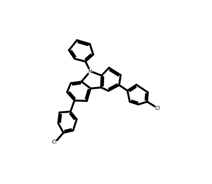 Clc1ccc(-c2ccc3c(c2)c2cc(-c4ccc(Cl)cc4)ccc2n3-c2ccccc2)cc1